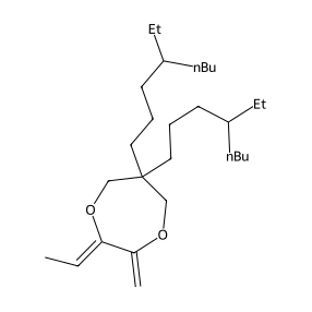 C=C1OCC(CCCC(CC)CCCC)(CCCC(CC)CCCC)CO/C1=C\C